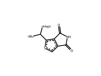 CCCCCCCC(CCCC)c1scc2c1C(=O)NC2=O